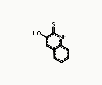 Oc1cc2ccccc2[nH]c1=S